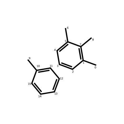 Cc1cccc(C)c1C.Cc1ccccc1